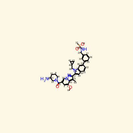 COc1cc(C(=O)N2CCC[C@@H](N)C2)cn2nc(-c3cc4ccc(-c5cccc(CNS(C)(=O)=O)c5)cc4n3CC3CC3)c(C)c12